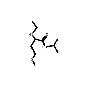 CCNC(CCSC)C(=O)NC(C)C